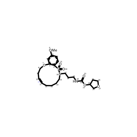 COc1ccc2c(c1)OCC/C=C\CCCCN(CCCNC(=O)OC1CCOC1)S2(=O)=O